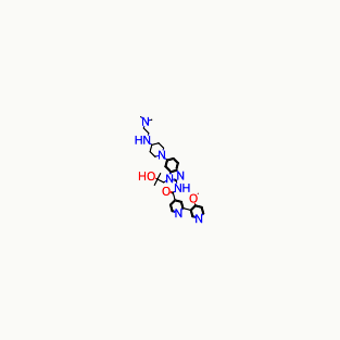 COc1ccncc1-c1cc(C(=O)Nc2nc3ccc(N4CCC(NCCN(C)C)CC4)cc3n2CC(C)(C)O)ccn1